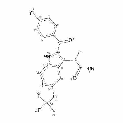 CC(C(=O)O)c1c(C(=O)c2ccc(Cl)cc2)[nH]c2ccc(OC(F)(F)F)cc12